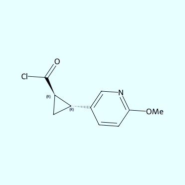 COc1ccc([C@@H]2C[C@H]2C(=O)Cl)cn1